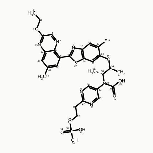 CCOc1cnc2c(-c3nc4cc(F)c(O[C@@H](C)[C@@H](C)N(C(=O)O)c5cnc(CCOP(=O)(O)O)nc5)cc4s3)cc(C)cc2n1